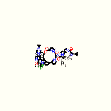 CO[C@@H](C)c1ncc(N2CCN(C3CC3)CC2)cc1-c1c2c3cc(ccc3n1CC(F)(F)F)C1=CCCN(C1)C[C@H](NC(=O)[C@H](C(C)C)N1CC[C@]3(CCN(C(=O)[C@H]4[C@@H](C5CC5)N4C)C3)C1)C(=O)N1CCC[C@H](N1)C(=O)OCC(C)(C)C2